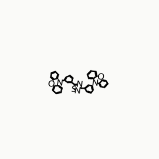 c1cc(-c2nsc(-c3cccc(N4c5ccccc5Oc5ccccc54)c3)n2)cc(N2c3ccccc3Oc3ccccc32)c1